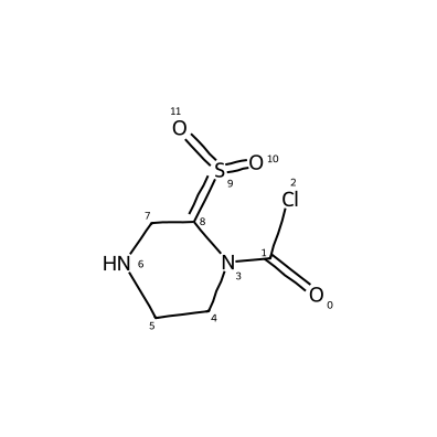 O=C(Cl)N1CCNCC1=S(=O)=O